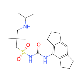 CC(C)NCC(C)(C)CS(=O)(=O)NC(=O)Nc1c2c(cc3c1CCC3)CCC2